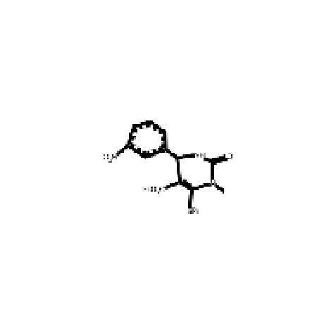 CCCC1=C(C(=O)OCC)C(c2cccc([N+](=O)[O-])c2)NC(=O)N1C